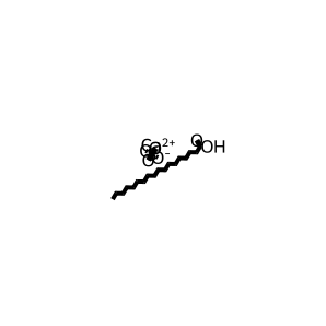 CCCCCCCCCCCCCCCCCC(=O)O.O=S(=O)([O-])[O-].[Ca+2]